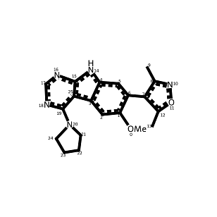 COc1cc2c(cc1-c1c(C)noc1C)[nH]c1ncnc(N3CCCC3)c12